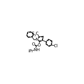 CC(C)NC(=O)Oc1c(-c2ccc(Cl)cc2)cc(C(F)(F)F)n1Cc1ccccc1